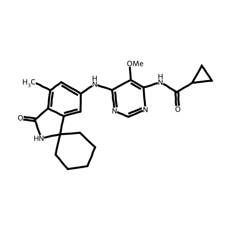 COc1c(NC(=O)C2CC2)ncnc1Nc1cc(C)c2c(c1)C1(CCCCC1)NC2=O